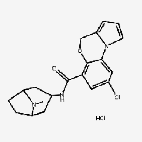 CN1C2CCC1CC(NC(=O)c1cc(Cl)cc3c1OCc1cccn1-3)C2.Cl